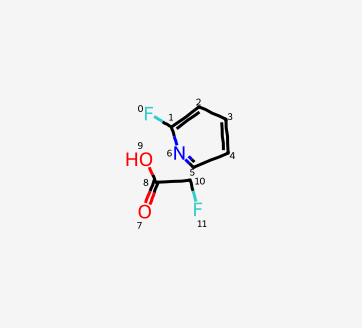 Fc1ccccn1.O=C(O)CF